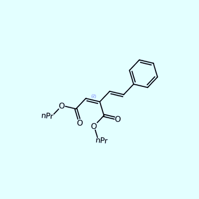 CCCOC(=O)/C=C(/C=Cc1ccccc1)C(=O)OCCC